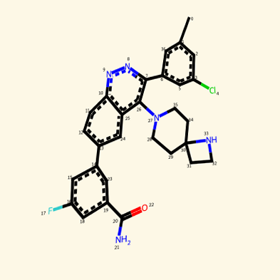 Cc1cc(Cl)cc(-c2nnc3ccc(-c4cc(F)cc(C(N)=O)c4)cc3c2N2CCC3(CCN3)CC2)c1